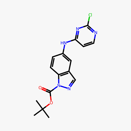 CC(C)(C)OC(=O)n1ncc2cc(Nc3ccnc(Cl)n3)ccc21